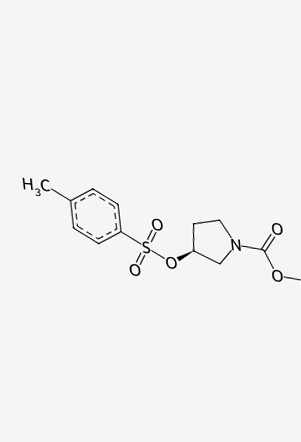 CCCCOC(=O)N1CC[C@H](OS(=O)(=O)c2ccc(C)cc2)C1